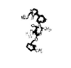 Cc1cccc(COc2nc(C)n(-c3cccc(-c4ccnc(C(C)(C)C)n4)c3)c(=O)c2C)c1